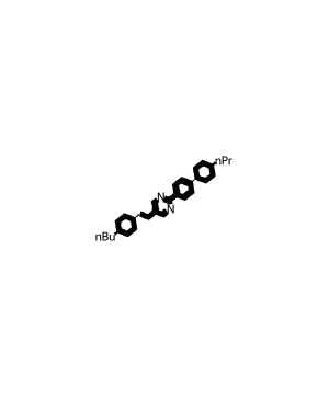 CCCC[C@H]1CC[C@H](CCc2cnc(-c3ccc([C@H]4CC[C@H](CCC)CC4)cc3)nc2)CC1